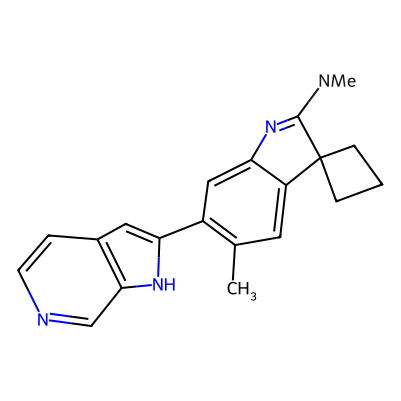 CNC1=Nc2cc(-c3cc4ccncc4[nH]3)c(C)cc2C12CCC2